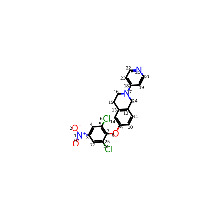 O=[N+]([O-])c1cc(Cl)c(Oc2ccc3c(c2)CCN(c2ccncc2)C3)c(Cl)c1